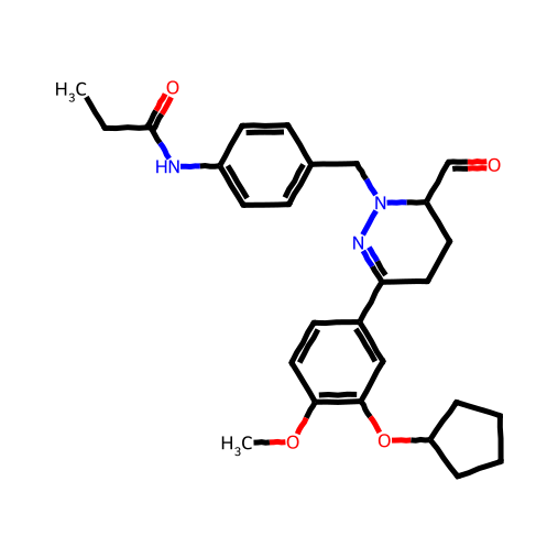 CCC(=O)Nc1ccc(CN2N=C(c3ccc(OC)c(OC4CCCC4)c3)CCC2C=O)cc1